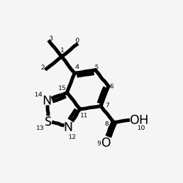 CC(C)(C)c1ccc(C(=O)O)c2nsnc12